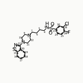 O=S(=O)(NCCCCN1CCN(c2nsc3ccccc23)CC1)c1ccc(F)c(Cl)c1